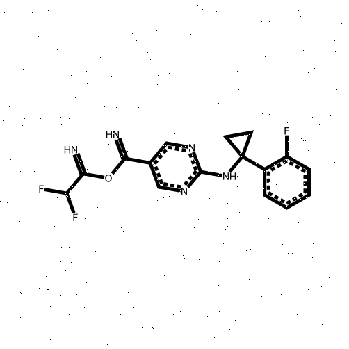 N=C(OC(=N)C(F)F)c1cnc(NC2(c3ccccc3F)CC2)nc1